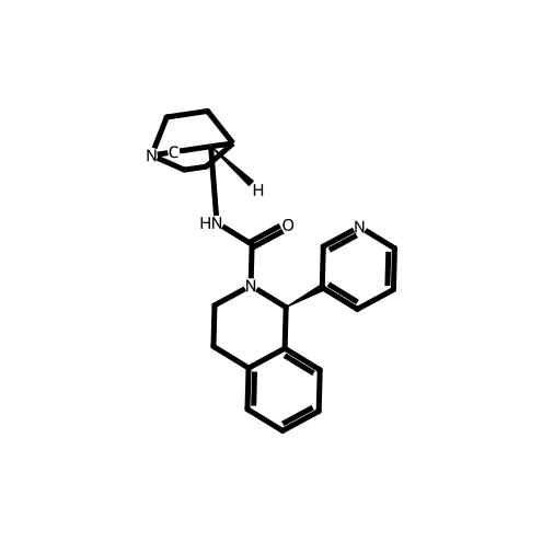 O=C(N[C@@H]1CN2CCC1CC2)N1CCc2ccccc2[C@@H]1c1cccnc1